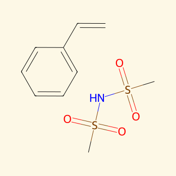 C=Cc1ccccc1.CS(=O)(=O)NS(C)(=O)=O